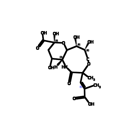 C/C(=C\C1(C)OC[C@@H](O)[C@@H](O)C2O[C@](O)(C(=O)O)CC(O)[C@H]2NC1=O)C(=O)O